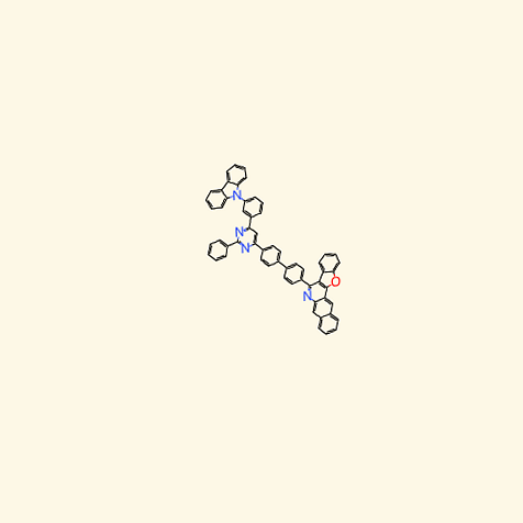 c1ccc(-c2nc(-c3ccc(-c4ccc(-c5nc6cc7ccccc7cc6c6oc7ccccc7c56)cc4)cc3)cc(-c3cccc(-n4c5ccccc5c5ccccc54)c3)n2)cc1